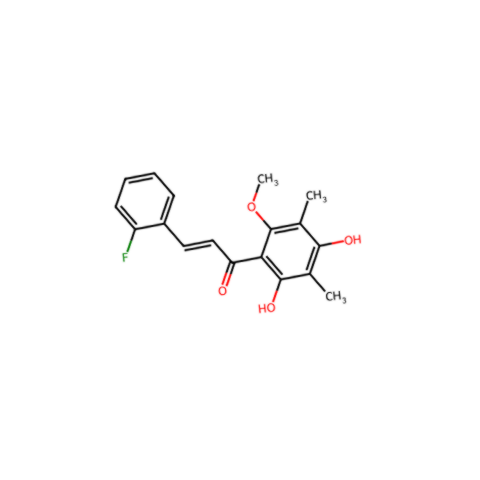 COc1c(C)c(O)c(C)c(O)c1C(=O)/C=C/c1ccccc1F